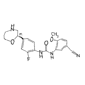 COc1ccc(C#N)cc1NC(=O)Nc1ccc([C@@H]2CNCCO2)cc1F